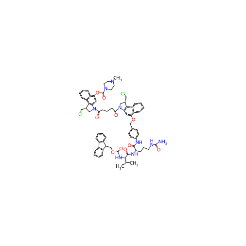 CC(C)C(NC(=O)OCC1c2ccccc2-c2ccccc21)C(=O)NC(CCCNC(N)=O)C(=O)Nc1ccc(COc2cc3c(c4ccccc24)[C@H](CCl)CN3C(=O)CCCC(=O)N2C[C@@H](CCl)c3c2cc(OC(=O)N2CCN(C)CC2)c2ccccc32)cc1